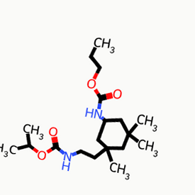 CCCOC(=O)NC1CC(C)(C)CC(C)(CCNC(=O)OC(C)C)C1